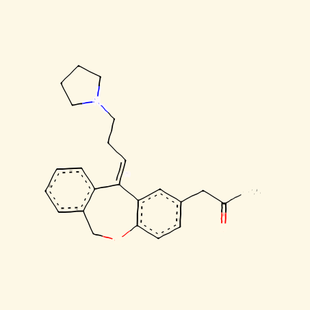 COC(=O)Cc1ccc2c(c1)/C(=C/CCN1CCCC1)c1ccccc1CO2